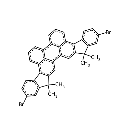 CC1(C)c2cc(Br)ccc2-c2c1cc1c3cc4c(c5cccc(c6cccc2c61)c53)-c1ccc(Br)cc1C4(C)C